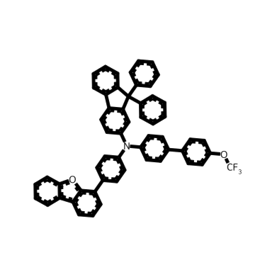 FC(F)(F)Oc1ccc(-c2ccc(N(c3ccc(-c4cccc5c4oc4ccccc45)cc3)c3ccc4c(c3)C(c3ccccc3)(c3ccccc3)c3ccccc3-4)cc2)cc1